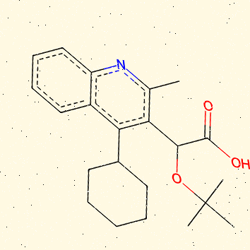 Cc1nc2ccccc2c(C2CCCCC2)c1C(OC(C)(C)C)C(=O)O